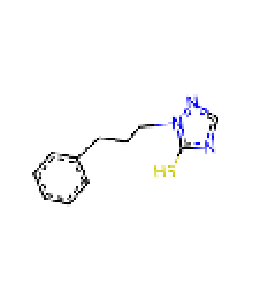 Sc1ncnn1CCCc1ccccc1